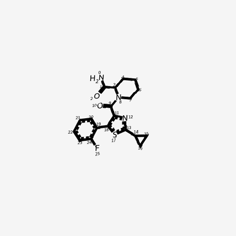 NC(=O)C1CCCCN1C(=O)c1nc(C2CC2)sc1-c1ccccc1F